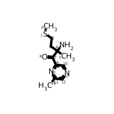 CSCCC(C)(N)C(=O)c1cncc(C)n1